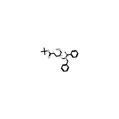 C[C@@H](c1ccccc1)N(Cc1ccccc1)C[C@@H](CO)CCC(=O)OC(C)(C)C